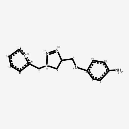 Nc1ccc(OCC2CN(Cc3ccccc3)N=N2)cc1